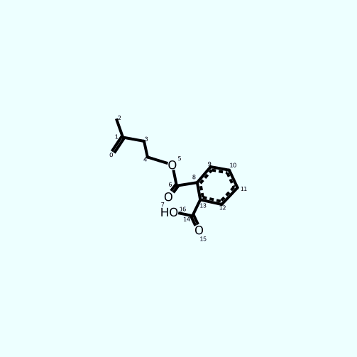 C=C(C)CCOC(=O)c1ccccc1C(=O)O